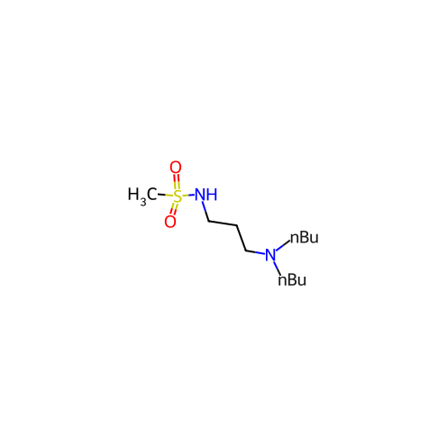 CCCCN(CCCC)CCCNS(C)(=O)=O